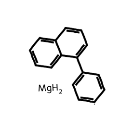 [MgH2].[c]1ccc(-c2cccc3ccccc23)cc1